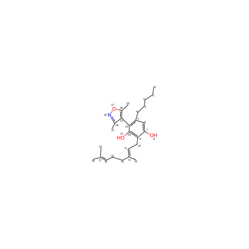 CCCCCc1cc(O)c(C/C=C(\C)CCC=C(C)C)c(O)c1-c1c(C)noc1C